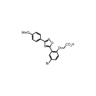 COc1ccc(-c2noc(-c3cc(Br)ccc3OCC(=O)O)n2)cc1